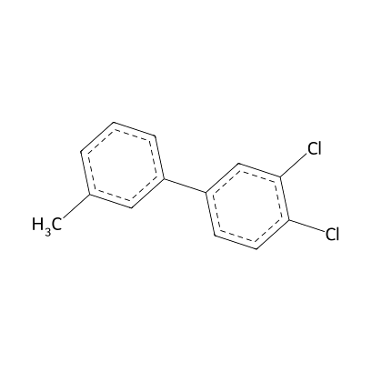 Cc1cccc(-c2ccc(Cl)c(Cl)c2)c1